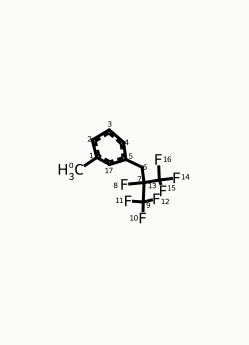 Cc1cccc(CC(F)(C(F)(F)F)C(F)(F)F)c1